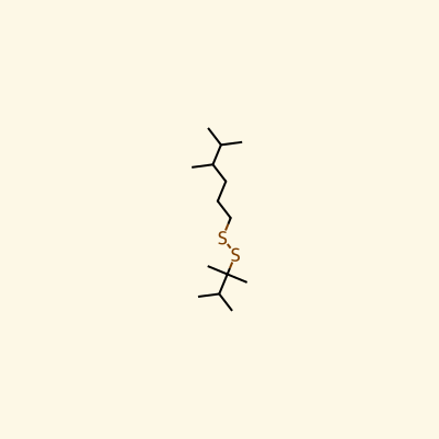 CC(C)C(C)CCCSSC(C)(C)C(C)C